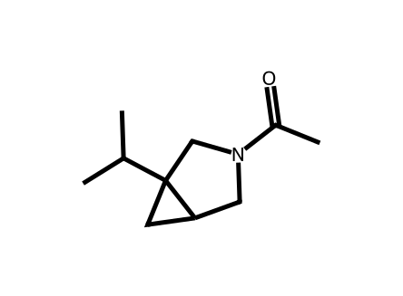 CC(=O)N1CC2CC2(C(C)C)C1